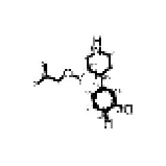 CC(C)COC[C@@H]1CNCC[C@H]1c1ccc(Cl)c(Cl)c1